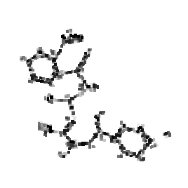 C=C(NC(=O)C1=C(N)N(C)CC(c2ccc(C)cc2)=N1)c1ccccc1NC